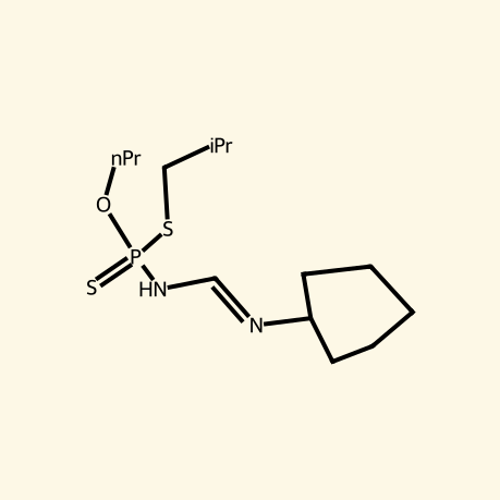 CCCOP(=S)(NC=NC1CCCCC1)SCC(C)C